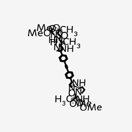 COCON[C@H](C(=O)N1CCC[C@H]1c1ncc(-c2ccc(C#Cc3ccc(-c4cnc([C@H](C)NC(=O)[C@@H](NC(=O)OC)[C@@H](C)OC)[nH]4)cc3)cc2)[nH]1)[C@@H](C)OC